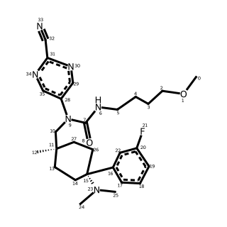 COCCCCNC(=O)N(C[C@]1(C)CC[C@@](c2cccc(F)c2)(N(C)C)CC1)c1cnc(C#N)nc1